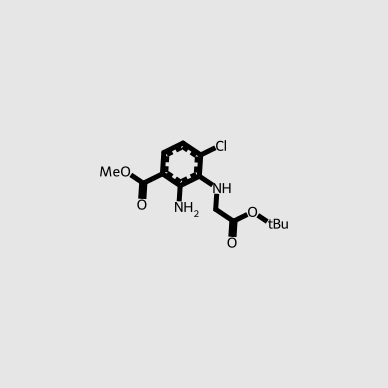 COC(=O)c1ccc(Cl)c(NCC(=O)OC(C)(C)C)c1N